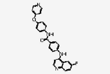 O=C(Nc1ccc(Oc2ccncc2)cc1)c1ccc(Nc2ccnc3ccc(F)cc23)cc1